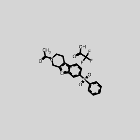 CC(=O)N1CCc2c(oc3cc(S(=O)(=O)c4ccccc4)ccc23)C1.O=C(O)C(F)(F)F